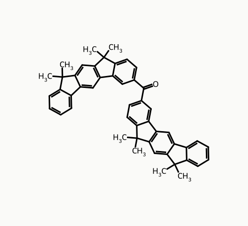 CC1(C)c2ccccc2-c2cc3c(cc21)C(C)(C)c1ccc(C(=O)c2ccc4c(c2)-c2cc5c(cc2C4(C)C)C(C)(C)c2ccccc2-5)cc1-3